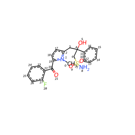 Cn1c(CC(O)(CS(N)(=O)=O)c2ccccc2)ccc1C(=O)c1ccccc1F